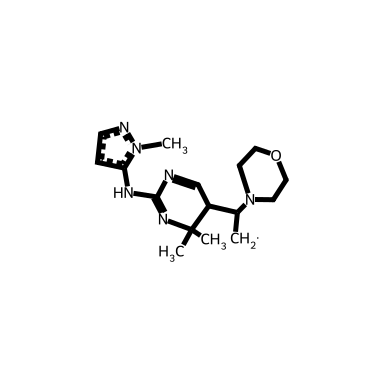 [CH2]C(C1C=NC(Nc2ccnn2C)=NC1(C)C)N1CCOCC1